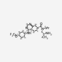 CCCN(CC(C)N)C(=O)c1ccc2c(Nc3ccc(OC(F)(F)F)cc3)ncnc2c1